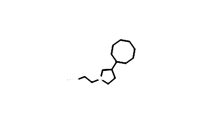 COCCN1CCC(C2CCCCCCC2)C1